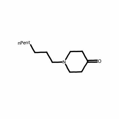 CCCCCCCCN1CCC(=O)CC1